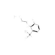 CCCSc1c(F)cccc1C(F)(F)F